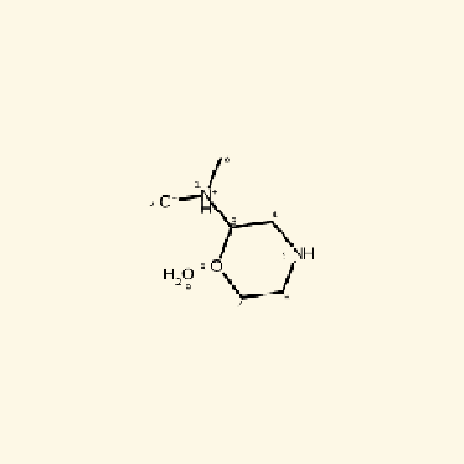 C[NH+]([O-])C1CNCCO1.O